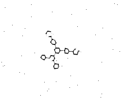 Cc1ccc(-c2ccc(-c3cc(-c4ccc(-c5ncccn5)cc4)cc(-c4cc(-c5ccccc5)nc(-c5ccccc5)c4)c3)cc2)cn1